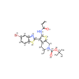 C=CC(=O)Nc1sc2c(c1-c1nc3cc(Br)ccc3s1)CC(C)N(C(=O)OC(C)(C)C)C2